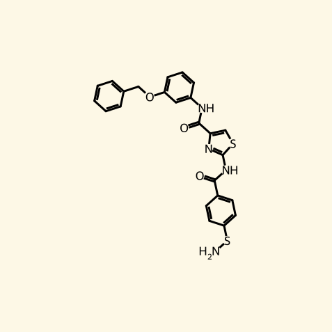 NSc1ccc(C(=O)Nc2nc(C(=O)Nc3cccc(OCc4ccccc4)c3)cs2)cc1